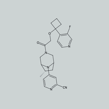 C[C@H]1CC2CN(C(=O)COC3(c4ccncc4F)CCC3)CC1N2c1ccnc(C#N)c1